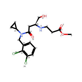 COC(=O)CCN[C@H](CO)CC(=O)N(Cc1cccc(Cl)c1Cl)C1CC1